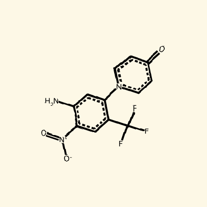 Nc1cc(-n2ccc(=O)cc2)c(C(F)(F)F)cc1[N+](=O)[O-]